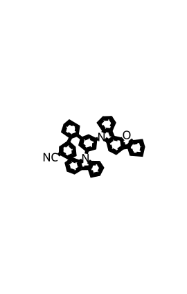 N#Cc1cccc(-c2ccccc2-c2cc(-n3c4ccccc4c4ccccc43)cc(-n3c4ccccc4c4c5oc6ccccc6c5ccc43)c2)c1